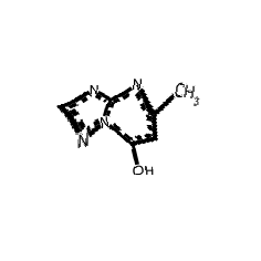 Cc1cc(O)n2ncnc2n1